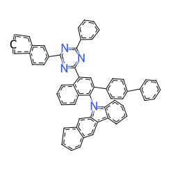 c1ccc(-c2ccc(-c3cc(-c4nc(-c5ccccc5)nc(-c5ccc6ccccc6c5)n4)c4ccccc4c3-n3c4ccccc4c4cc5ccccc5cc43)cc2)cc1